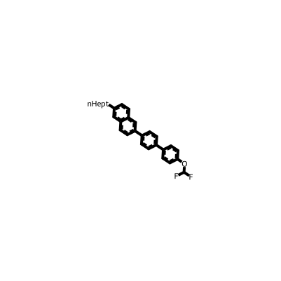 CCCCCCCc1ccc2cc(-c3ccc(-c4ccc(OC(F)F)cc4)cc3)ccc2c1